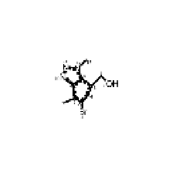 Cc1c(Br)cc(CO)c2c1nnn2C